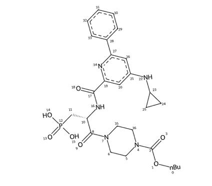 CCCCOC(=O)N1CCN(C(=O)[C@H](CP(=O)(O)O)NC(=O)c2cc(NC3CC3)cc(-c3ccccc3)n2)CC1